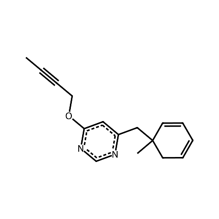 CC#CCOc1cc(CC2(C)C=CC=CC2)ncn1